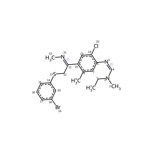 CCN(C)/C=N\c1cc(C)c(/C(CSc2cccc(Br)c2)=N/C)cc1Cl